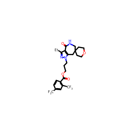 CCc1nn(CCCOC(=O)c2ccc(C(F)(F)F)cc2C(F)(F)F)c2c1C(=O)NCC1(CCOCC1)C2